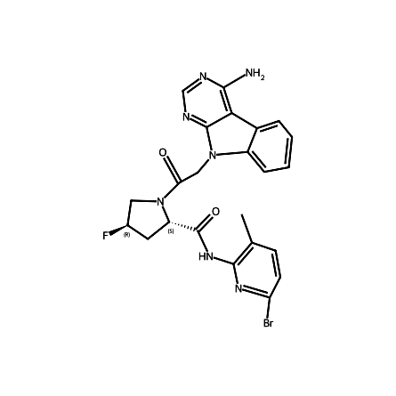 Cc1ccc(Br)nc1NC(=O)[C@@H]1C[C@@H](F)CN1C(=O)Cn1c2ccccc2c2c(N)ncnc21